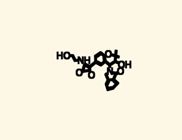 CC1(C)Oc2ccc(-c3c(NCCO)c(=O)c3=O)cc2C(N2Cc3ccccc3C2=O)C1O